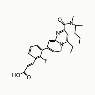 CCCC(C)N(C)C(=O)C1=NC2=CC(c3cccc(/C=C/C(=O)O)c3F)=CCN2C(CC)=C1